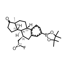 CC1(C)OB(c2ccc3c(c2)C[C@@H](C[S+]([O-])F)[C@@H]2[C@@H]3CC[C@]3(C)C(=O)CC[C@@H]23)OC1(C)C